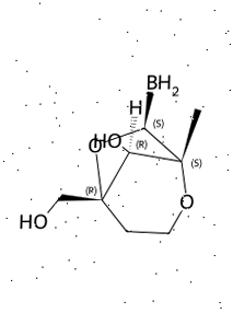 B[C@@H]1O[C@@]2(CO)CCO[C@]1(C)[C@@H]2O